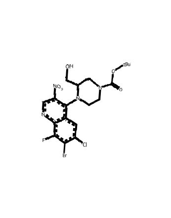 CC(C)(C)OC(=O)N1CCN(c2c([N+](=O)[O-])cnc3c(F)c(Br)c(Cl)cc23)C(CO)C1